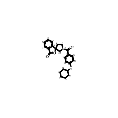 O=C1OC2(CCN(C(=O)c3ccc(OC4CCCCC4)cc3)C2)c2ccccc21